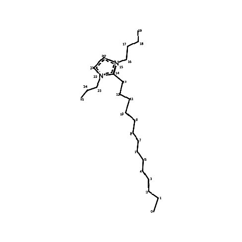 CCCCCCCCCCCCCCc1n(CCCC)cc[n+]1CCC